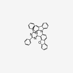 c1ccc(-c2nc(-c3ccccc3)nc(-c3c(-n4c5ccccc5c5ccccc54)ccc4c3oc3ccccc34)n2)cc1